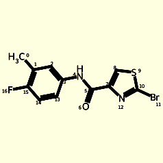 Cc1cc(NC(=O)c2csc(Br)n2)ccc1F